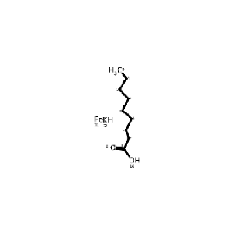 CCCCCCCCC(=O)O.[Fe].[KH]